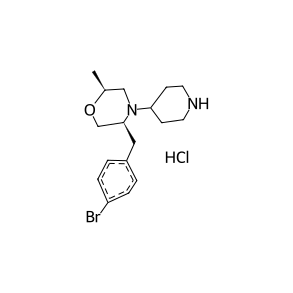 C[C@H]1CN(C2CCNCC2)[C@@H](Cc2ccc(Br)cc2)CO1.Cl